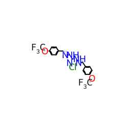 FC(F)(F)Oc1ccc(/C=N/NC(=NCl)N/N=C/c2ccc(OC(F)(F)F)cc2)cc1